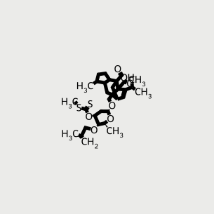 C=C(C)CO[C@H]1[C@@H](OC(=S)SC)C[C@H](OCC23CC4C(C)CCC4C4(C=O)CC2C=C(C(C)C)C43C(=O)O)O[C@@H]1C